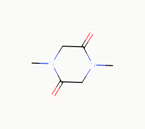 CN1[CH]C(=O)N(C)CC1=O